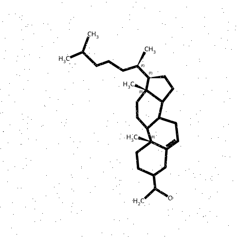 [CH2]C([O])C1CC[C@@]2(C)C(=CCC3C2CC[C@@]2(C)C3CC[C@@H]2[C@H](C)CCCC(C)C)C1